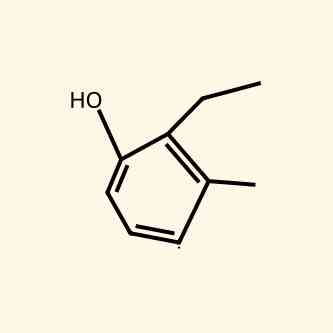 CCc1c(C)[c]ccc1O